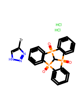 Cl.Cl.O=P(c1ccccc1)(c1ccccc1)C(P(=O)(c1ccccc1)c1ccccc1)P(=O)(c1ccccc1)c1ccccc1.[Zr][c]1c[nH]nn1